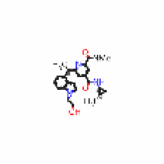 CNC(=O)c1cc(C(=O)N[C@H]2C[C@@H]2C)cc([C@@H](C)c2cccc3c2ccn3CCO)n1